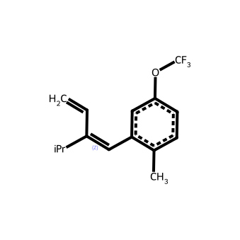 C=C/C(=C\c1cc(OC(F)(F)F)ccc1C)C(C)C